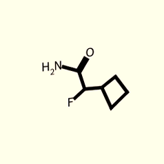 NC(=O)C(F)C1CCC1